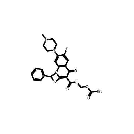 CN1CCN(c2cc3c(cc2F)c(=O)c(C(=O)OCOC(=O)C(C)(C)C)c2n3C(c3ccccc3)S2)CC1